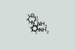 Nc1cccc(N2CCCOCC2)c1N